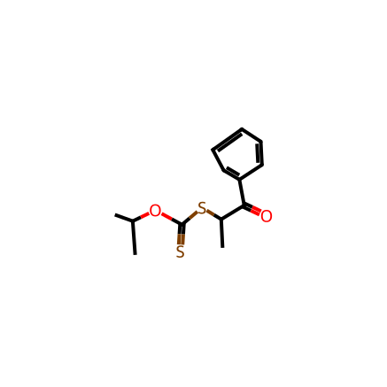 CC(C)OC(=S)SC(C)C(=O)c1ccccc1